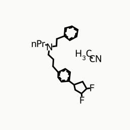 CC#N.CCCN(CCCc1ccc(C2CC(F)C(F)C2)cc1)CCc1ccccc1